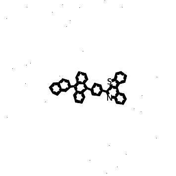 c1ccc2cc(-c3c4ccccc4c(-c4ccc(-c5nc6ccccc6c6c5sc5ccccc56)cc4)c4ccccc34)ccc2c1